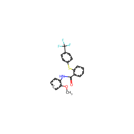 COc1ccccc1NC(=O)c1ccccc1Sc1ccc(C(F)(F)F)cc1